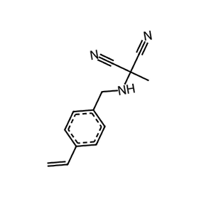 C=Cc1ccc(CNC(C)(C#N)C#N)cc1